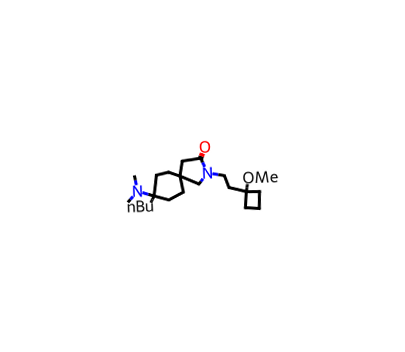 CCCCC1(N(C)C)CCC2(CC1)CC(=O)N(CCC1(OC)CCC1)C2